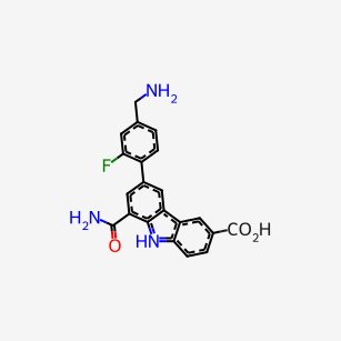 NCc1ccc(-c2cc(C(N)=O)c3[nH]c4ccc(C(=O)O)cc4c3c2)c(F)c1